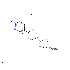 CCCC[C@H]1CC[C@H]([C@H]2CC[C@H](c3ccc(F)nc3)CC2)CC1